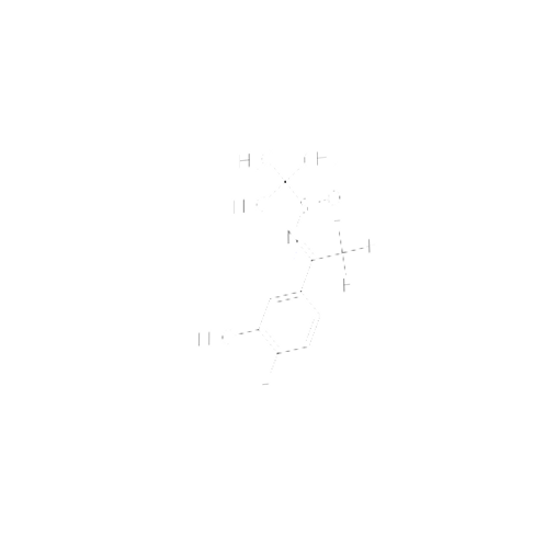 Cc1cc(/C(=N/[S+]([O-])C(C)(C)C)C(F)(F)F)ccc1F